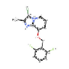 Cc1nc2c(OCc3c(F)cccc3F)cccn2c1Cl